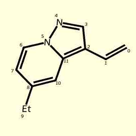 C=Cc1cnn2ccc(CC)cc12